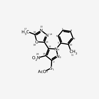 CC(=O)OSc1nn(-c2ccccc2C)c(-c2nnc(C)o2)c1[N+](=O)[O-]